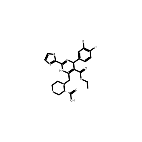 CCOC(=O)C1=C(CN2CCOC[C@H]2C(=O)O)NC(c2nccs2)=NC1c1ccc(Cl)c(F)c1